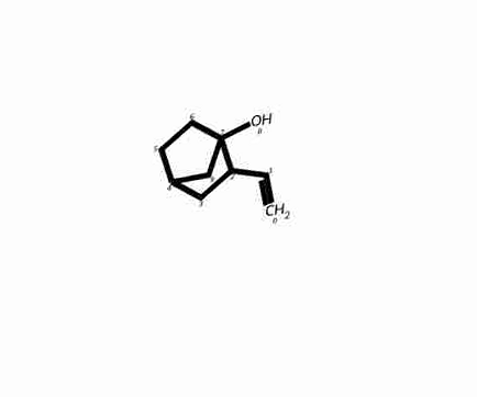 C=CC1CC2CCC1(O)C2